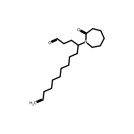 C=CCCCCCCCCC(CCC=O)N1CCCCCC1=O